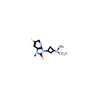 Cn1c(=O)n(C2CC(N(C(=O)O)C(C)(C)C)C2)c2ncc(F)cc21